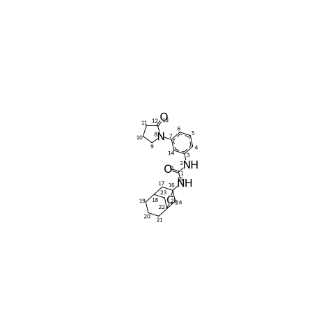 O=C(Nc1cccc(N2CCCC2=O)c1)NC12CC3CCCC(C3)(C1)C2